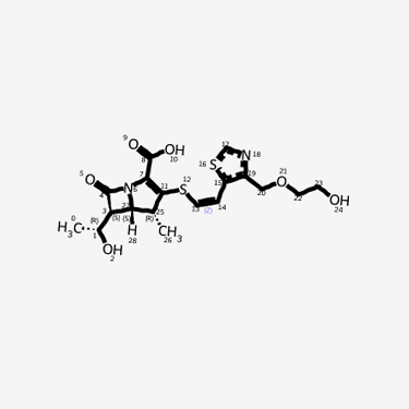 C[C@@H](O)[C@H]1C(=O)N2C(C(=O)O)=C(S/C=C\c3scnc3COCCO)[C@H](C)[C@H]12